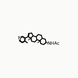 CC(=O)N[C@@H]1CC[C@@]2(C)C(CCC3C2CC[C@]2(C)C(c4cnccc4C)=CCC32)C1